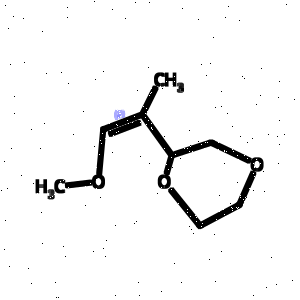 CO/C=C(/C)C1COCCO1